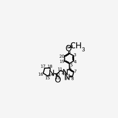 COc1ccc(-c2ccnn2CC(=O)N2CCCC2)cc1